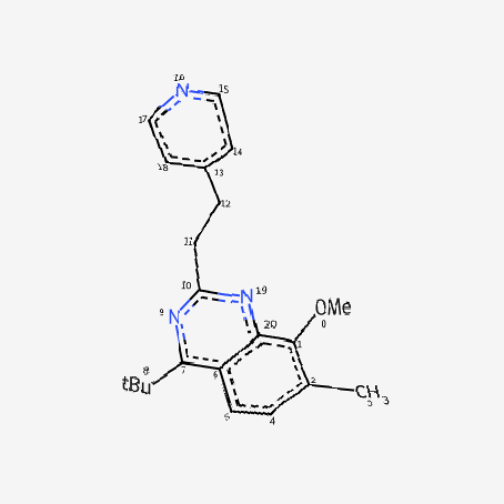 COc1c(C)ccc2c(C(C)(C)C)nc(CCc3ccncc3)nc12